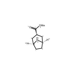 COC(=O)[C@H]1C[C@H]2CC[C@@H](C1)N2